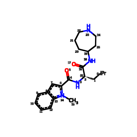 CC(C)C[C@H](NC(=O)c1cc2ccccc2n1C)C(=O)NC1CCCNCC1